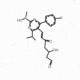 CC(C)c1nc(N(C)S)nc(-c2ccc(F)cc2)c1/C=C/C(=O)CC(O)CC=O